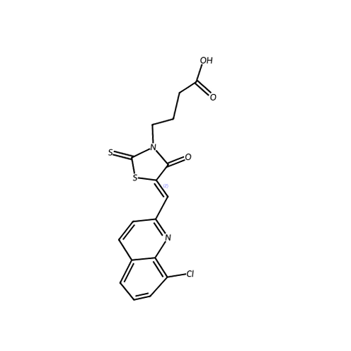 O=C(O)CCCN1C(=O)/C(=C/c2ccc3cccc(Cl)c3n2)SC1=S